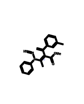 C=C(/C(C(=O)OC)=C(/C)N(N=N)c1ccccc1)c1cccc(C)c1